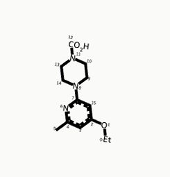 CCOc1cc(C)nc(N2CCN(C(=O)O)CC2)c1